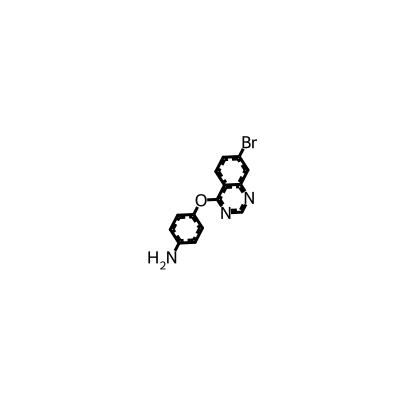 Nc1ccc(Oc2ncnc3cc(Br)ccc23)cc1